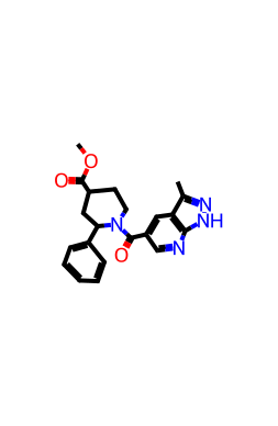 COC(=O)C1CCN(C(=O)c2cnc3[nH]nc(C)c3c2)C(c2ccccc2)C1